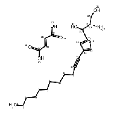 CCCCCCCCCCC#Cc1csc(C(O)[C@@H](N)CO)c1.O=C(O)C=CC(=O)O